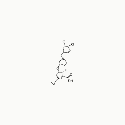 O=C(O)c1cc(C2CC2)cc(O[C@@H]2CCCN(Cc3ccc(Cl)c(Cl)c3)C2)c1F